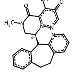 CN1C[C@H](C2c3ccccc3CCc3cccnc32)n2ncc(=O)c(O)c2C1=O